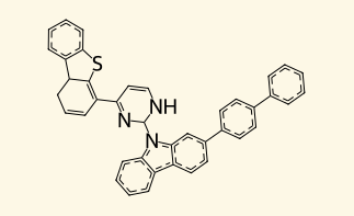 C1=CC(C2=NC(n3c4ccccc4c4ccc(-c5ccc(-c6ccccc6)cc5)cc43)NC=C2)=C2Sc3ccccc3C2C1